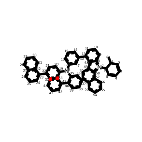 CC1C=CC=CC1n1c2cccc(-c3cccc(N(c4ccc(-c5cccc6ccccc56)cc4)c4ccccc4-c4ccccc4)c3)c2c2ccc3ccccc3c21